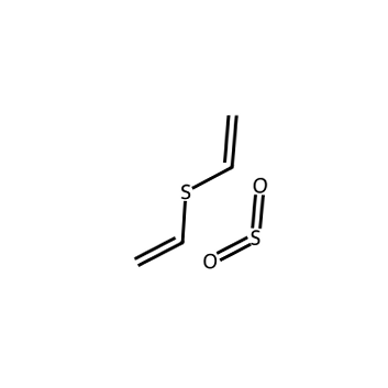 C=CSC=C.O=S=O